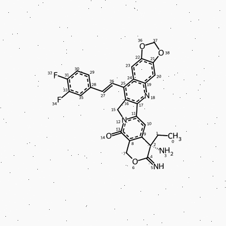 CC[C@@]1(N)C(=N)OCc2c1cc1n(c2=O)Cc2c-1nc1cc3c(cc1c2/C=C/c1ccc(F)c(F)c1)OCO3